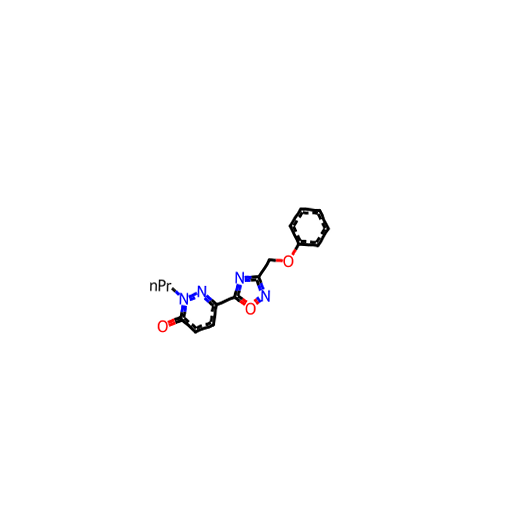 CCCn1nc(-c2nc(COc3ccccc3)no2)ccc1=O